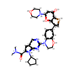 CN(C)C(=O)c1cc2cnc(N3CCOc4cc(-c5csc6c(=O)cc(N7CCOCC7)oc56)ccc43)nc2n1C1CCCC1